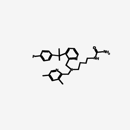 Cc1cnc(CN(CCCCNC(N)=O)Cc2ncccc2C(C)(C)c2ccc(F)cc2)c(C)c1